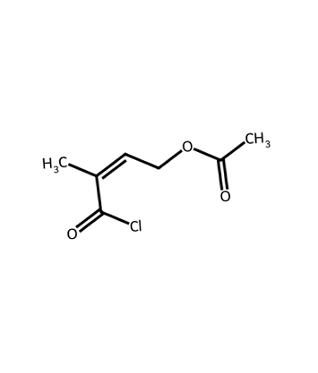 CC(=O)OCC=C(C)C(=O)Cl